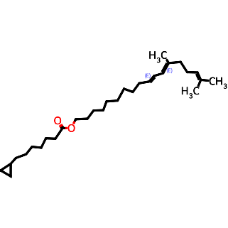 CC(C)=CCC/C(C)=C/C=C/CCCCCCCCCOC(=O)CCCCCCC1CC1